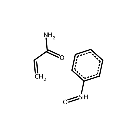 C=CC(N)=O.O=[SiH]c1ccccc1